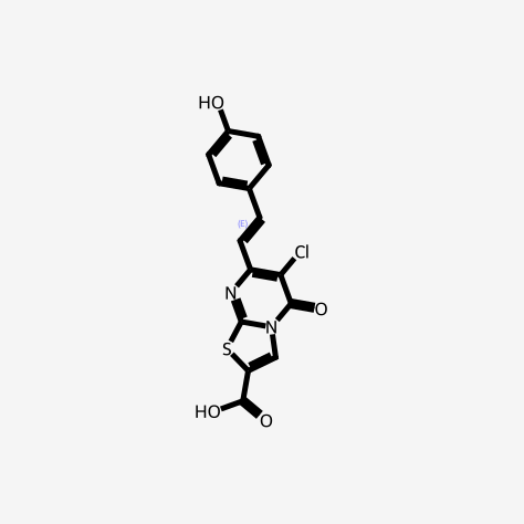 O=C(O)c1cn2c(=O)c(Cl)c(/C=C/c3ccc(O)cc3)nc2s1